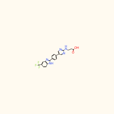 O=C(O)CCNc1ncc(-c2ccc(-c3nc4cc(C(F)(F)F)ccc4[nH]3)cc2)cn1